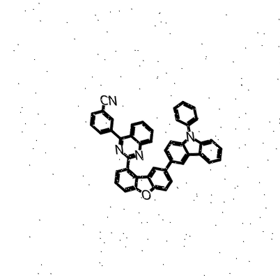 N#Cc1cccc(-c2nc(-c3cccc4oc5ccc(-c6ccc7c(c6)c6ccccc6n7-c6ccccc6)cc5c34)nc3ccccc23)c1